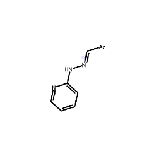 CC(=O)/C=N/Nc1ccccn1